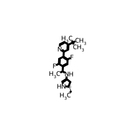 CC[C@H]1CC(NC(C)c2cc(F)c(-c3cc(C(C)(C)C)ccn3)cc2F)=CN1